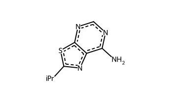 CC(C)c1nc2c(N)ncnc2s1